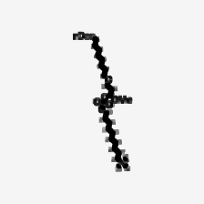 CCCCCCCCCCCCCCCCCCOCCC(OC)OP(=O)([O-])OCCCCCCCCCC[N+](C)(C)C